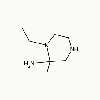 CCN1CCNCC1(C)N